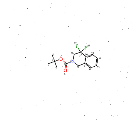 CC(C)(C)OC(=O)N1Cc2ccccc2C(F)(F)C1